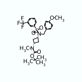 COc1ccc(CN([C@H]2C[C@@H](N(C)C(=O)OC(C)(C)C)C2)S(=O)(=O)c2cccc(C(F)(F)F)c2)cc1